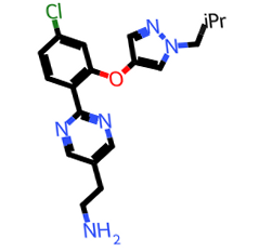 CC(C)Cn1cc(Oc2cc(Cl)ccc2-c2ncc(CCN)cn2)cn1